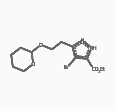 CCOC(=O)c1[nH]nc(CCOC2CCCCO2)c1Br